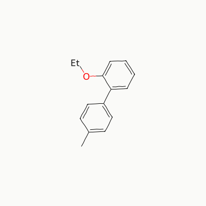 CCOc1ccccc1-c1ccc(C)cc1